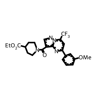 CCOC(=O)C1CCN(C(=O)c2cnn3c(C(F)(F)F)cc(-c4cccc(OC)c4)nc23)CC1